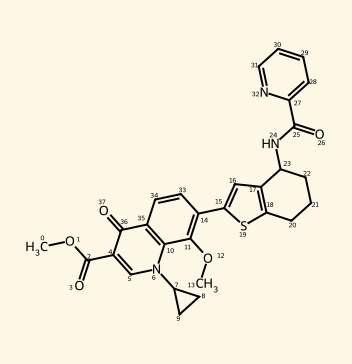 COC(=O)c1cn(C2CC2)c2c(OC)c(-c3cc4c(s3)CCCC4NC(=O)c3ccccn3)ccc2c1=O